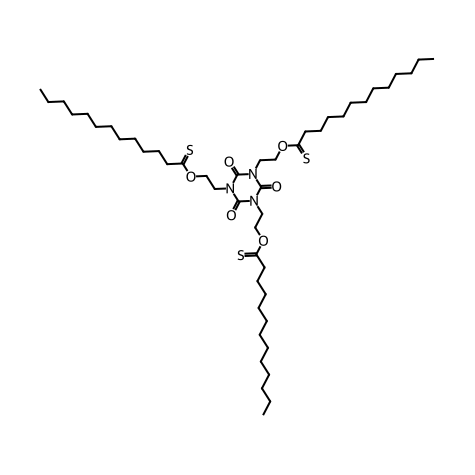 CCCCCCCCCCCCC(=S)OCCn1c(=O)n(CCOC(=S)CCCCCCCCCCCC)c(=O)n(CCOC(=S)CCCCCCCCCCCC)c1=O